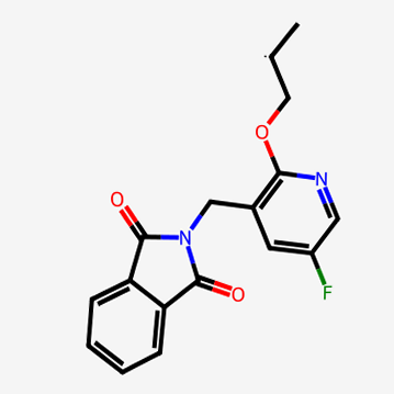 C[CH]COc1ncc(F)cc1CN1C(=O)c2ccccc2C1=O